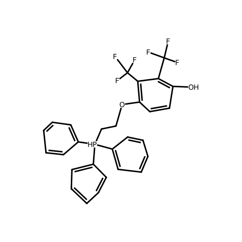 Oc1ccc(OCC[PH](c2ccccc2)(c2ccccc2)c2ccccc2)c(C(F)(F)F)c1C(F)(F)F